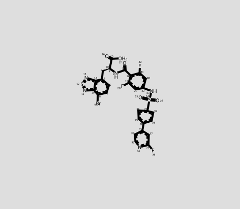 O=C(N[C@@H](Cc1ccc(Br)c2nsnc12)C(=O)O)c1c(F)cc(NS(=O)(=O)c2ccc(-c3ccnc(F)c3)cc2)cc1F